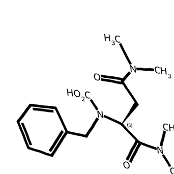 CN(C)C(=O)C[C@@H](C(=O)N(C)C)N(Cc1ccccc1)C(=O)O